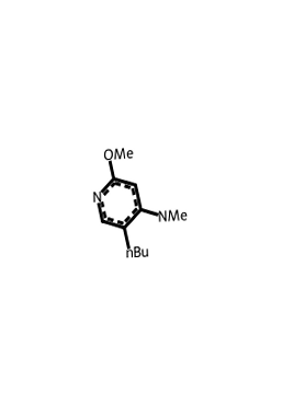 CCCCc1cnc(OC)cc1NC